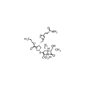 C=CCOC(=O)N1C[C@@H](SC2=C(C(=O)O)N3C(=O)[C@H]([C@@H](C)O)[C@H]3[C@H]2C)C[C@H]1CCn1cnc(C=CC(N)=O)c1